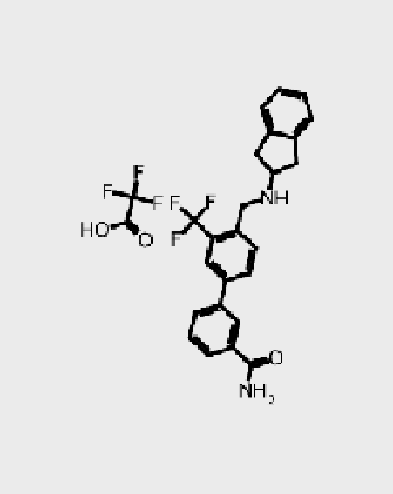 NC(=O)c1cccc(-c2ccc(CNC3Cc4ccccc4C3)c(C(F)(F)F)c2)c1.O=C(O)C(F)(F)F